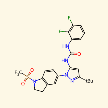 CC(C)(C)c1cc(NC(=O)Nc2cccc(F)c2F)n(-c2ccc3c(c2)CCN3S(=O)(=O)C(F)(F)F)n1